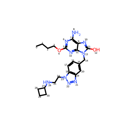 CCCCOc1nc(N)c2nc(O)n(Cc3ccc4c(c3)nnn4CCNC3CCC3)c2n1